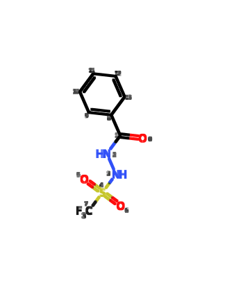 O=C(NNS(=O)(=O)C(F)(F)F)c1ccccc1